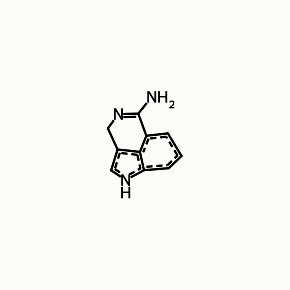 NC1=NCc2c[nH]c3cccc1c23